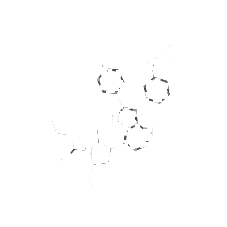 CCOC(=O)N1C(CC)CC(c2ccnc3c(-c4cccc(NS(C)(=O)=O)c4)c(-c4ccncc4)nn23)C1C